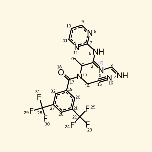 CC(/C(=N/C=N)Nc1ncccn1)N(CC#N)C(=O)c1cc(C(F)(F)F)cc(C(F)(F)F)c1